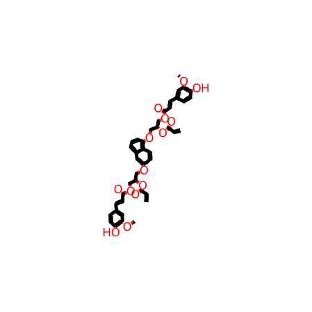 C=CC(=O)OC(COC(=O)/C=C/c1ccc(O)c(OC)c1)COc1ccc2c(OCC(COC(=O)/C=C/c3ccc(O)c(OC)c3)OC(=O)C=C)cccc2c1